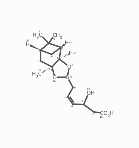 CC1(C)[C@@H]2C[C@H]1[C@H]1OB(C/C=C\C(O)CC(=O)O)O[C@@]1(C)C2